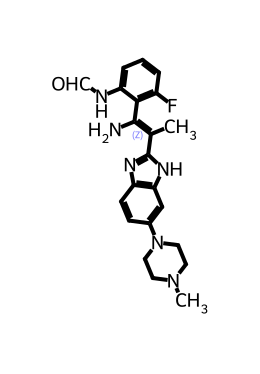 C/C(=C(/N)c1c(F)cccc1NC=O)c1nc2ccc(N3CCN(C)CC3)cc2[nH]1